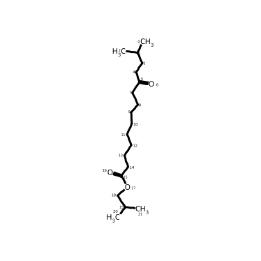 CC(C)CCC(=O)CCCCCCCCC(=O)OCC(C)C